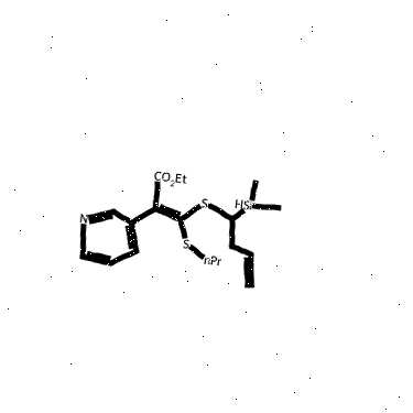 C=CCC(S/C(SCCC)=C(\C(=O)OCC)c1cccnc1)[SiH](C)C